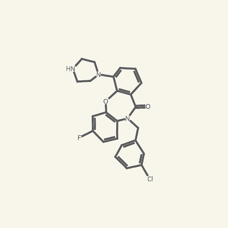 O=C1c2cccc(N3CCNCC3)c2Oc2cc(F)ccc2N1Cc1cccc(Cl)c1